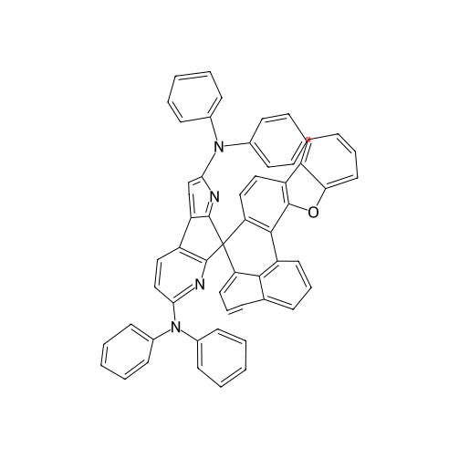 c1ccc(N(c2ccccc2)c2ccc3c(n2)C2(c4ccc5c(oc6ccccc65)c4-c4cccc5cccc2c45)c2nc(N(c4ccccc4)c4ccccc4)ccc2-3)cc1